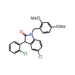 COc1ccc(CN2C(=O)C(c3ccccc3Cl)c3cc(Cl)ccc32)c(OC)c1